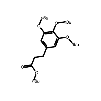 CCCCOC(=O)CCc1cc(OCCCC)c(OCCCC)c(OCCCC)c1